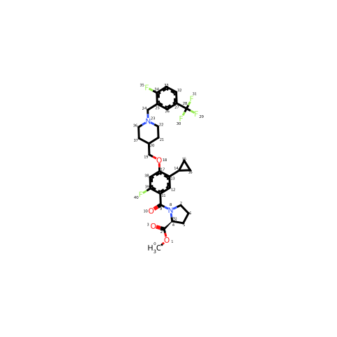 COC(=O)[C@@H]1CCCN1C(=O)c1cc(C2CC2)c(OCC2CCN(Cc3cc(C(F)(F)F)ccc3F)CC2)cc1F